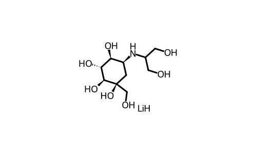 OCC(CO)N[C@H]1C[C@](O)(CO)[C@@H](O)[C@H](O)[C@H]1O.[LiH]